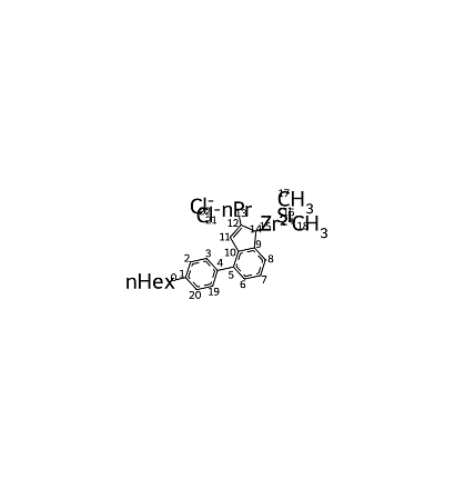 CCCCCCc1ccc(-c2cccc3c2C=C(CCC)[CH]3[Zr+2][Si](C)C)cc1.[Cl-].[Cl-]